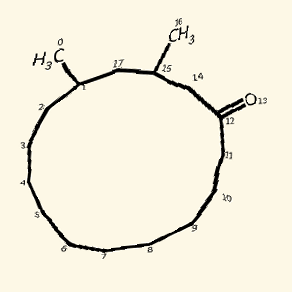 CC1CCCCCCCCCCC(=O)CC(C)C1